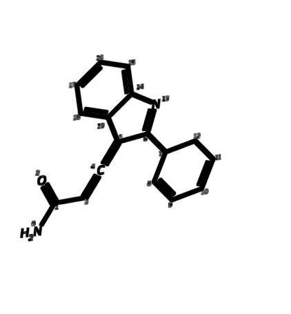 NC(=O)C=C=C1C(C2C=CC=CC2)=Nc2ccccc21